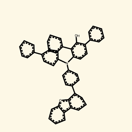 Oc1c(-c2ccccc2)ccc(N(c2ccc(-c3ccccc3)cc2)c2ccc(-c3cccc4c3oc3ccccc34)cc2)c1-c1ccccc1